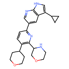 c1nc2[nH]cc(C3CC3)c2cc1-c1ccc(C2CCOCC2)c(C2COCCN2)n1